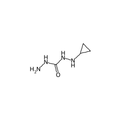 NNC(=O)NNC1CC1